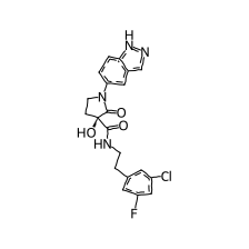 O=C(NCCc1cc(F)cc(Cl)c1)[C@]1(O)CCN(c2ccc3[nH]ncc3c2)C1=O